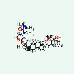 CCO[C@@H](C(CC[C@H]1CCC2C3CC[C@H]4C(C)(C)[C@@H](OC5CN([C@H](C)C(=O)N(C)C)CCO5)CC[C@@]45CC35CC[C@@]21C)OC)C(C)(C)O